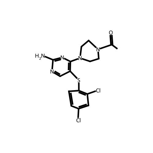 CC(=O)N1CCN(c2nc(N)ncc2Sc2ccc(Cl)cc2Cl)CC1